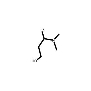 CC[C](CCO)N(C)C